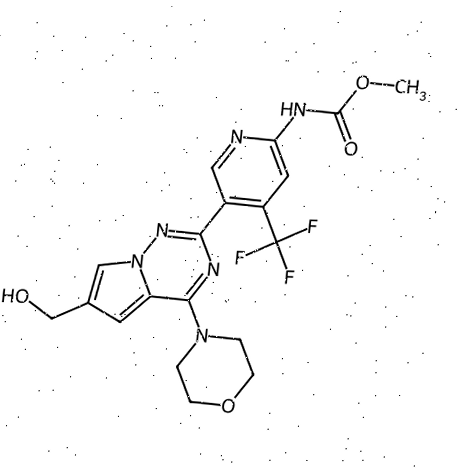 COC(=O)Nc1cc(C(F)(F)F)c(-c2nc(N3CCOCC3)c3cc(CO)cn3n2)cn1